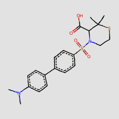 CN(C)c1ccc(-c2ccc(S(=O)(=O)N3CCSC(C)(C)C3C(=O)O)cc2)cc1